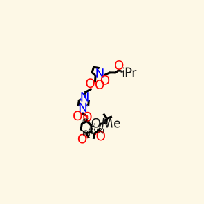 CO[C@H]1[C@H](C2(C)O[C@@H]2CC=C(C)C)[C@]2(CC[C@H]1OC(=O)N1CCN(CCOC(=O)C3CCCN3C(=O)CCC(=O)C(C)C)CC1)CO2